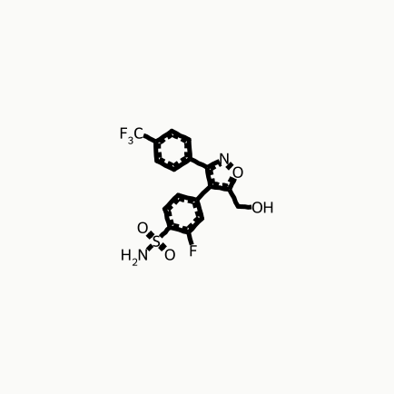 NS(=O)(=O)c1ccc(-c2c(-c3ccc(C(F)(F)F)cc3)noc2CO)cc1F